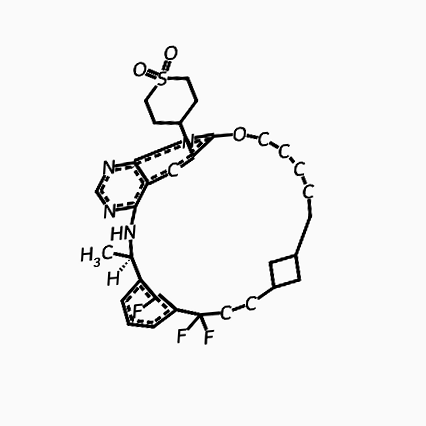 C[C@H]1Nc2ncnc3nc(c(C4CCS(=O)(=O)CC4)cc23)OCCCCCC2CC(CCC(F)(F)c3cccc1c3F)C2